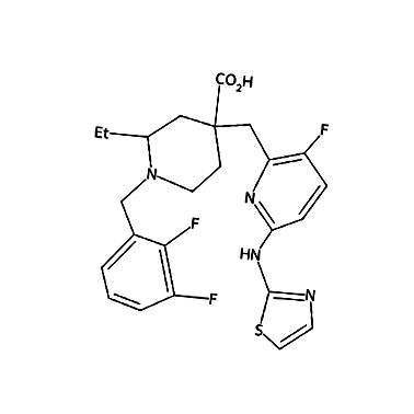 CCC1CC(Cc2nc(Nc3nccs3)ccc2F)(C(=O)O)CCN1Cc1cccc(F)c1F